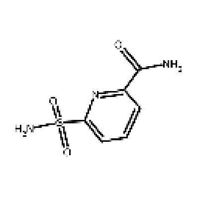 NC(=O)c1[c]ccc(S(N)(=O)=O)n1